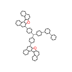 c1ccc(-c2cccc(-c3ccc(C(c4ccc(-c5cc6ccccc6c6c5oc5ccc7ccccc7c56)cc4)c4ccc(-c5cc6ccccc6c6c5oc5ccc7ccccc7c56)cc4)cc3)c2)cc1